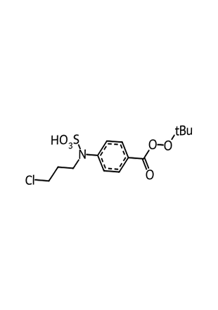 CC(C)(C)OOC(=O)c1ccc(N(CCCCl)S(=O)(=O)O)cc1